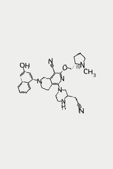 CN1CCC[C@H]1COc1nc(N2CCNC(CC#N)C2)c2c(c1C#N)CN(c1cc(O)cc3ccccc13)CC2